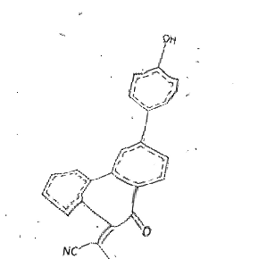 N#CC(C#N)=C1C(=O)c2ccc(-c3ccc(O)cc3)cc2-c2ccccc21